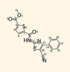 COC(=O)c1ccc(C(=O)Nc2nc(-c3ccccc3)c(C#N)s2)s1